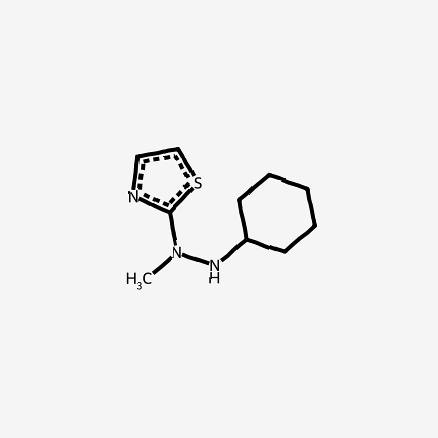 CN(NC1CCCCC1)c1nccs1